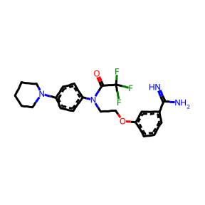 N=C(N)c1cccc(OCCN(C(=O)C(F)(F)F)c2ccc(N3CCCCC3)cc2)c1